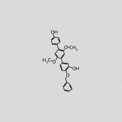 COc1cc(-c2ccc(OCc3ccccc3)c(O)c2)c(OC)cc1-c1ccc(O)cc1